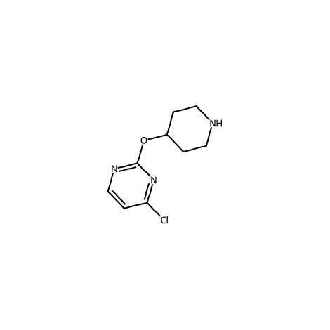 Clc1ccnc(OC2CCNCC2)n1